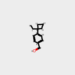 CCC1(c2ccc(C=O)cc2)CCC1